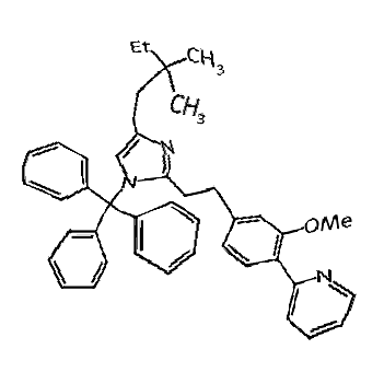 CCC(C)(C)Cc1cn(C(c2ccccc2)(c2ccccc2)c2ccccc2)c(CCc2ccc(-c3ccccn3)c(OC)c2)n1